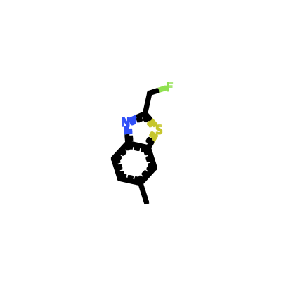 Cc1ccc2nc(CF)sc2c1